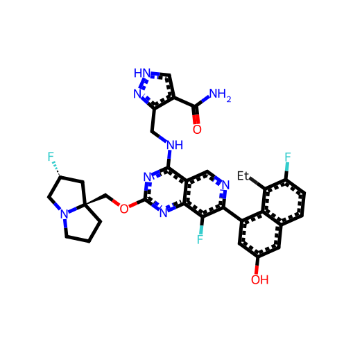 CCc1c(F)ccc2cc(O)cc(-c3ncc4c(NCc5n[nH]cc5C(N)=O)nc(OC[C@@]56CCCN5C[C@H](F)C6)nc4c3F)c12